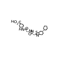 O=C(Cc1nnc(Cc2nc3ccc(-c4ccccc4)cc3s2)o1)Nc1ccc(C(=O)O)cc1